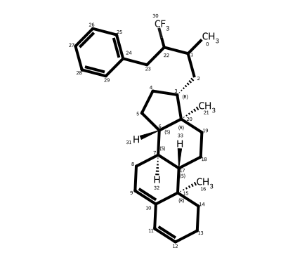 CC(C[C@H]1CC[C@H]2[C@@H]3CC=C4C=CCC[C@]4(C)[C@H]3CC[C@]12C)C(Cc1ccccc1)C(F)(F)F